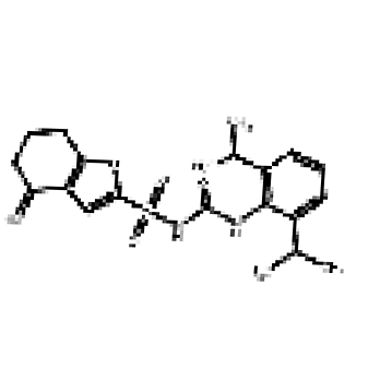 CC(C)c1cccc(C(C)C)c1NC(=O)NS(=O)(=O)c1cc2c(o1)CCCC2=N